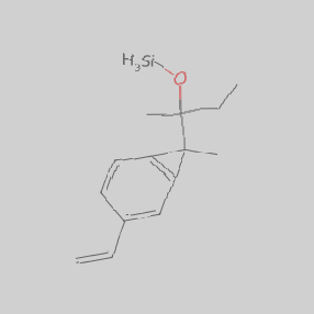 C=Cc1ccc2c(c1)C2(C)C(C)(CC)O[SiH3]